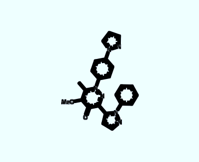 COc1c(C)n(-c2ccc(-n3cccn3)cc2)nc(-c2ccnn2-c2ccccc2)c1=O